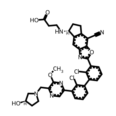 COc1nc(-c2cccc(-c3cccc(-c4nc5cc6c(c(C#N)c5o4)CC[C@H]6NCCC(=O)O)c3Cl)c2Cl)cnc1CN1CC[C@@H](O)C1